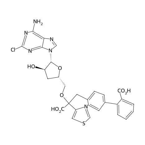 Nc1nc(Cl)nc2c1ncn2[C@@H]1O[C@H](COC(Cc2ccc(-c3ccccc3C(=O)O)cc2)(C(=O)O)c2cscn2)C[C@H]1O